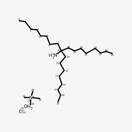 CCCCCCCCC(N)(CCCCCCCC)CCCCCCCC.C[N+](C)(C)C.O.[Cl-]